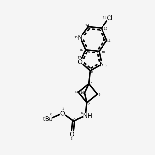 CC(C)(C)OC(=O)NC12CC(c3nc4cc(Cl)cnc4o3)(C1)C2